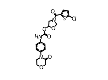 O=C(Nc1ccc(N2CCOCC2=O)cc1)OC1CN(C(=O)c2ccc(Cl)s2)CO1